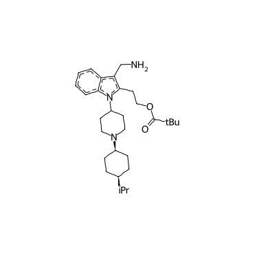 CC(C)[C@H]1CC[C@@H](N2CCC(n3c(CCOC(=O)C(C)(C)C)c(CN)c4ccccc43)CC2)CC1